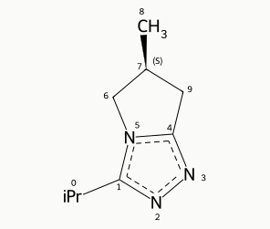 CC(C)c1nnc2n1C[C@@H](C)C2